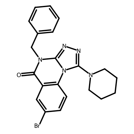 O=c1c2cc(Br)ccc2n2c(N3CCCCC3)nnc2n1Cc1ccccc1